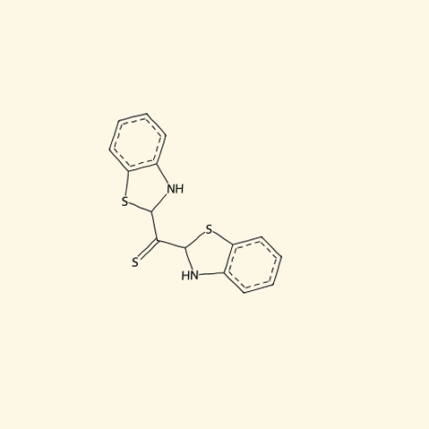 S=C(C1Nc2ccccc2S1)C1Nc2ccccc2S1